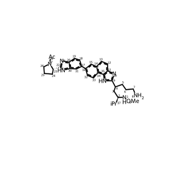 CON[C@H](CC(CCCN)c1nc2ccc3cc(-c4ccc5nc([C@@H]6CCCN6C(C)=O)[nH]c5c4)ccc3c2[nH]1)C(C)C